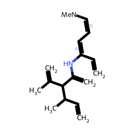 C=C/C(=C\C=C/NC)NC(=C)C(C(=C)C)C(C)C=C